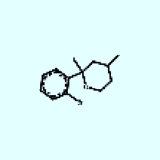 CC1CCOC(I)(c2ccccc2Br)C1